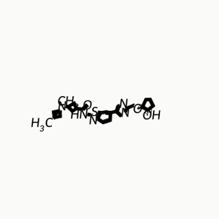 CN(C1CC(C(=O)Nc2nc3ccc(-c4cnc(CO[C@H]5CCC[C@@H]5O)nc4)cc3s2)C1)C12CC(C)(C1)C2